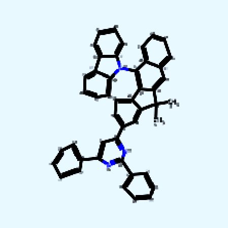 CC1(C)c2cc(-c3cc(-c4ccccc4)nc(-c4ccccc4)n3)ccc2-c2c1cc1ccccc1c2-n1c2ccccc2c2ccccc21